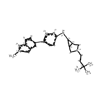 Cn1cc2cc(-c3ccc(NC4C5CN(CCC(C)(C)C)CC54)nn3)ccc2n1